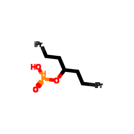 CC(C)CCC(CCC(C)C)O[PH](=O)O